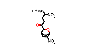 [CH2]CCCCCCC(CCC(=O)[C]1OC2CCC1CC2[N+](=O)[O-])[N+](=O)[O-]